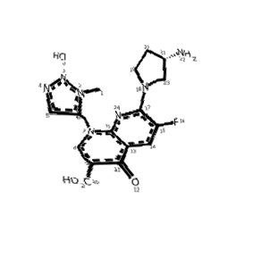 Cl.Cn1nncc1-n1cc(C(=O)O)c(=O)c2cc(F)c(N3CC[C@H](N)C3)nc21